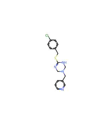 Clc1ccc(CSC2=NCN(Cc3cccnc3)CN2)cc1